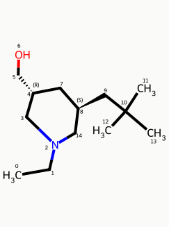 CCN1C[C@H](CO)C[C@@H](CC(C)(C)C)C1